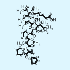 CC[C@H](C)[C@@H]([C@@H](CC(=O)N1CCC[C@H]1[C@H](OC)[C@@H](C)C(=O)NC1(C(=O)N2CCCCO2)C[C@@H]1c1ccccc1)OC)N(C)C(=O)[C@@H](NC(=O)[C@H](C(C)C)N(C)CCCCCC(=O)O)C(C)C